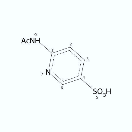 CC(=O)Nc1ccc(S(=O)(=O)O)cn1